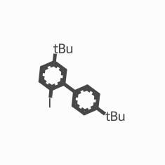 CC(C)(C)c1ccc(-c2cc(C(C)(C)C)ccc2I)cc1